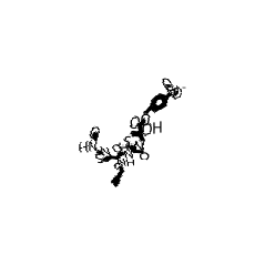 C#CCON=C(C(=O)NC1C(=O)N2CC(O)(C(=O)OCc3ccc([N+](=O)[O-])cc3)CS[C@H]12)c1csc(NC=O)n1